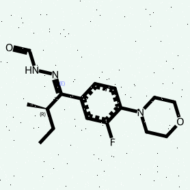 CC[C@@H](C)/C(=N\NC=O)c1ccc(N2CCOCC2)c(F)c1